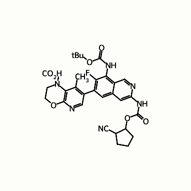 Cc1c(-c2cc3cc(NC(=O)OC4CCCC4C#N)ncc3c(NC(=O)OC(C)(C)C)c2F)cnc2c1N(C(=O)O)CCO2